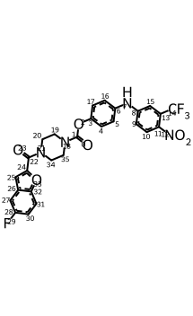 O=C(Oc1ccc(Nc2ccc([N+](=O)[O-])c(C(F)(F)F)c2)cc1)N1CCN(C(=O)c2cc3cc(F)ccc3o2)CC1